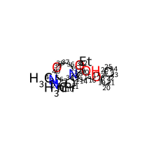 CCCc1nn(C)c2c1-c1c(C)ccc3c(CCCOc4cccc5ccccc45)c(C(O)OCC)n(c13)CCCCOC2